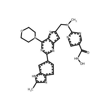 Cc1nc2ccc(-c3nc(N4CCOCC4)c4sc(CN(C)c5ncc(C(=O)NO)cn5)cc4n3)cc2[nH]1